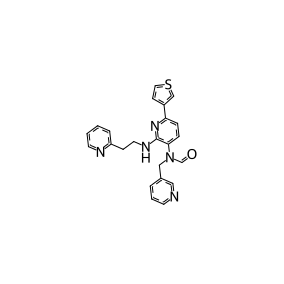 O=CN(Cc1cccnc1)c1ccc(-c2ccsc2)nc1NCCc1ccccn1